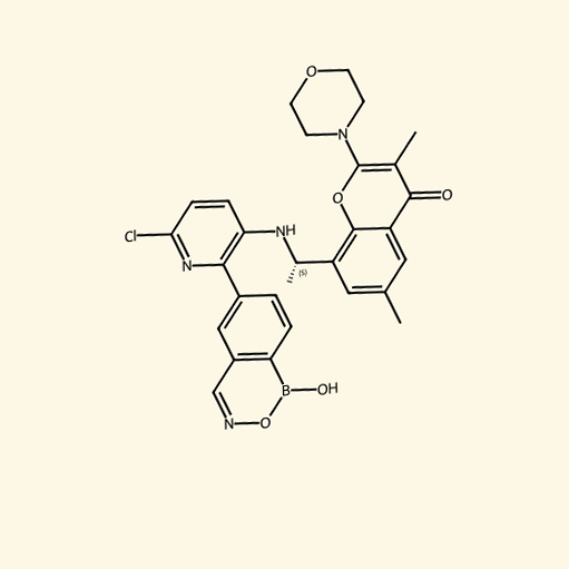 Cc1cc([C@H](C)Nc2ccc(Cl)nc2-c2ccc3c(c2)C=NOB3O)c2oc(N3CCOCC3)c(C)c(=O)c2c1